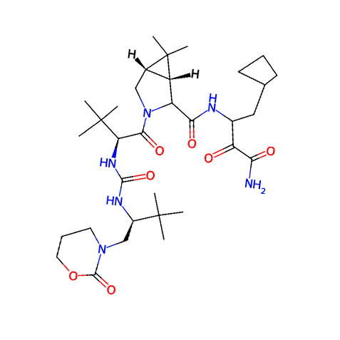 CC(C)(C)[C@H](NC(=O)N[C@H](CN1CCCOC1=O)C(C)(C)C)C(=O)N1C[C@H]2[C@@H](C1C(=O)NC(CC1CCC1)C(=O)C(N)=O)C2(C)C